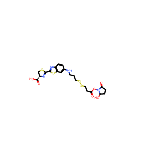 O=C(CCSSCCCNc1ccc2nc(C3=N[C@@H](C(=O)O)CS3)sc2c1)ON1C(=O)CCC1O